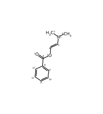 CN(C)C=COC(=O)c1ccccc1